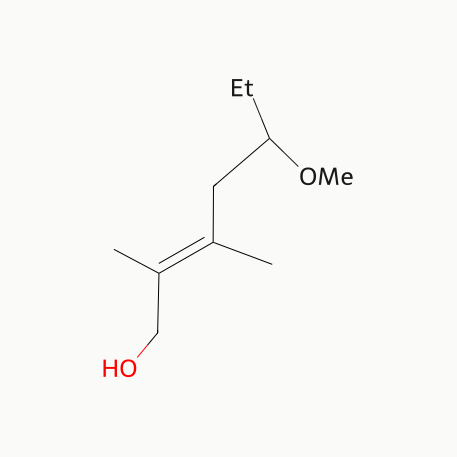 CCC(C/C(C)=C(\C)CO)OC